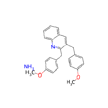 COc1ccc(Cc2cc3ccccc3nc2Cc2ccc(OC)cc2)cc1.N